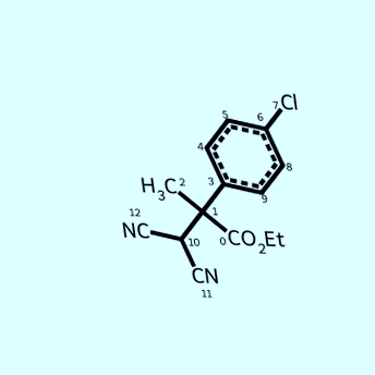 CCOC(=O)C(C)(c1ccc(Cl)cc1)C(C#N)C#N